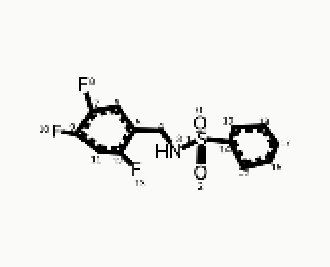 O=S(=O)(NCc1cc(F)c(F)cc1F)c1ccccc1